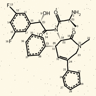 C[C@H](N)C(=O)N(C(=O)[C@@H](O)c1cc(F)cc(F)c1)[C@@H]1C(=O)N(C)CC(c2ccccc2)=C[C@@H]1c1ccccc1